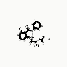 CC[C@H](OC(N)=O)C(=O)Nc1cccc(Cl)c1C(=O)Nc1ccccc1